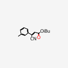 Cc1cccc(C(C#N)=CC(=O)OCC(C)C)c1